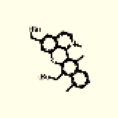 Cc1c2c(c(CC(C)(C)C)c3c(C)cccc13)Sc1cc(CC(C)(C)C)cc3cc[n+](C)c-2c13